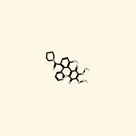 COC1=C(OC)C(=O)C(c2c(C)ccc(C(=O)N3CCCCC3)c2-c2cccnc2)=C(C)C1=O